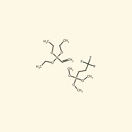 C=C[Si](OCC)(OCC)OCC.CO[Si](CCC(F)(F)F)(OC)OC